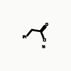 CC(C)CC(=O)Cl.[N]